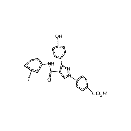 O=C(O)c1ccc(-n2cc(C(=O)Nc3cccc(F)c3)c(-c3ccc(O)cc3)n2)cc1